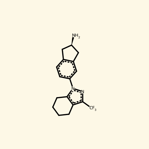 N[C@@H]1Cc2ccc(-n3nc(C(F)(F)F)c4c3CCCC4)cc2C1